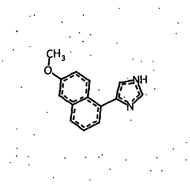 COc1ccc2c(-c3c[nH][c]n3)cccc2c1